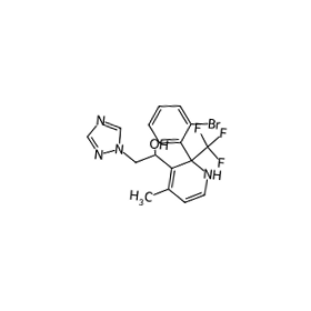 CC1=C(C(O)Cn2cncn2)C(c2ccccc2Br)(C(F)(F)F)NC=C1